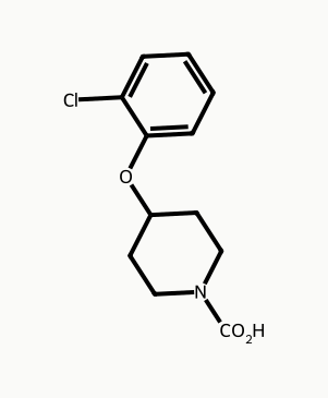 O=C(O)N1CCC(Oc2ccccc2Cl)CC1